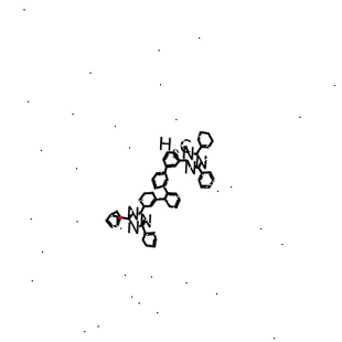 CN1C(C2=CCCCC2)=NC(c2ccccc2)=NC1c1cccc(-c2cccc(C3=CC=CCC3C3=CC(c4nc(C5=CC=CCC5)nc(C5CC6C=CC5C6)n4)CCC3)c2)c1